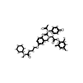 CC(=O)N(C1=Nc2ccc(OCCCC(=O)N(C)C3CCCCC3)cc2CN1CC(=O)Oc1c(C)cc(C)cc1C)c1ccc(Cl)cc1